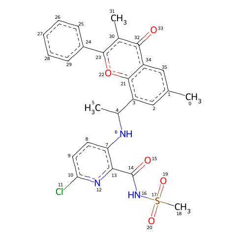 Cc1cc(C(C)Nc2ccc(Cl)nc2C(=O)NS(C)(=O)=O)c2oc(-c3ccccc3)c(C)c(=O)c2c1